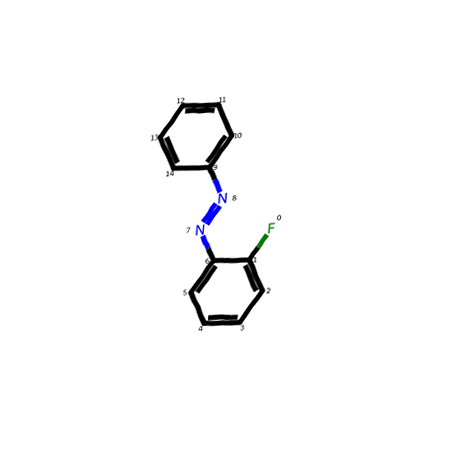 Fc1ccccc1/N=N/c1ccccc1